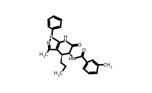 CCC[C@H]1c2c(C)nn(-c3ccccc3)c2NC(=O)[C@H]1NC(=O)c1cccc(C)c1